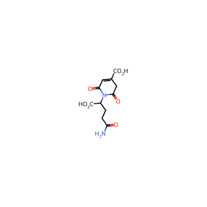 NC(=O)CCC(C(=O)O)N1C(=O)C=C(C(=O)O)CC1=O